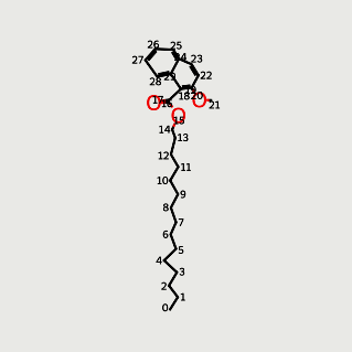 CCCCCCCCCCCCCCCOC(=O)c1c(OC)ccc2ccccc12